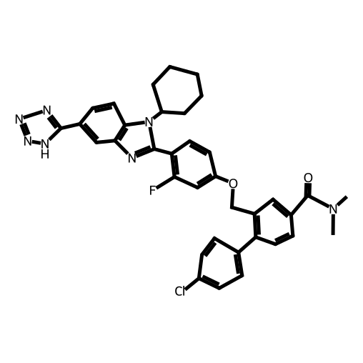 CN(C)C(=O)c1ccc(-c2ccc(Cl)cc2)c(COc2ccc(-c3nc4cc(-c5nnn[nH]5)ccc4n3C3CCCCC3)c(F)c2)c1